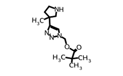 CC(C)(C)C(=O)OCn1cc(C2(C)CCNC2)nn1